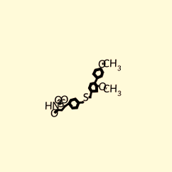 COc1ccc(-c2ccc(CSCc3ccc(C4CC(=O)NS4(=O)=O)cc3)cc2OC)cc1